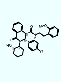 COc1ccccc1CCNC(=O)[C@@H]1c2ccccc2C(=O)N([C@H]2CCCC[C@@H]2O)[C@H]1c1ccc(Cl)cc1